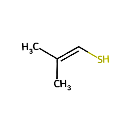 CC(C)=CS